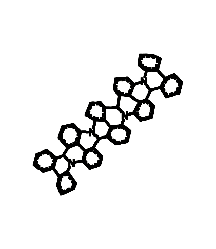 c1ccc2c(c1)-c1ccccc1N1c3cccc4c3-c3c(cccc3N3c5cccc6c5-c5c(cccc5N5c7cccc8c7-c7c(cccc7N7c9ccccc9-c9ccccc9C87)C65)C43)C21